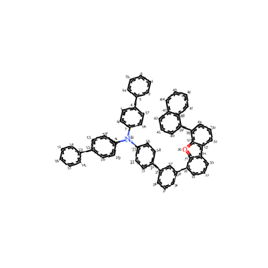 c1ccc(-c2ccc(N(c3ccc(-c4ccccc4)cc3)c3ccc(-c4cccc(-c5cccc6c5oc5c(-c7cccc8ccccc78)cccc56)c4)cc3)cc2)cc1